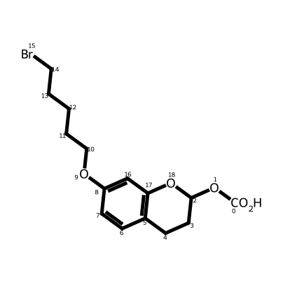 O=C(O)OC1CCc2ccc(OCCCCCBr)cc2O1